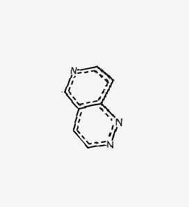 [c]1nccc2nnccc12